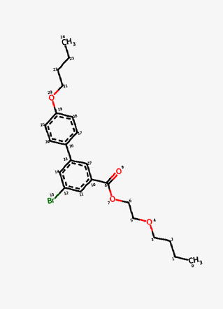 CCCCOCCOC(=O)c1cc(Br)cc(-c2ccc(OCCCC)cc2)c1